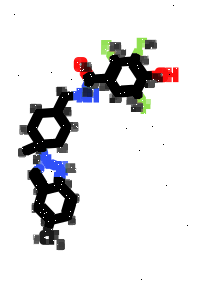 CC1(n2cc3cc(C(F)(F)F)ccc3n2)CCC(CNC(=O)c2cc(F)c(O)c(F)c2F)CC1